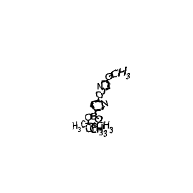 COc1ccc(COc2ccc(B3OC(C)(C)C(C)(C)O3)cn2)nc1